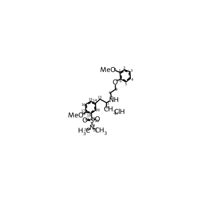 COc1ccccc1OCCNC(C)Cc1ccc(OC)c(S(=O)(=O)N(C)C)c1.Cl